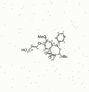 CCCCC1CN(c2ccccc2)c2cc(OC)c(O/C=C/C(=O)O)cc2S(=O)(=O)N1C